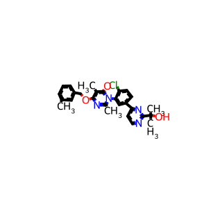 Cc1cccc(COc2nc(C)n(-c3cc(-c4ccnc(C(C)(C)O)n4)ccc3Cl)c(=O)c2C)c1